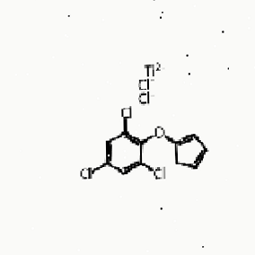 Clc1cc(Cl)c(OC2=CC=CC2)c(Cl)c1.[Cl-].[Cl-].[Ti+2]